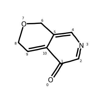 O=C1C=NC=C2COCC=C12